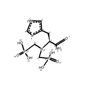 NC(=O)[C@H](Cc1c[nH]cn1)N(CP(=O)(O)O)CP(=O)(O)O